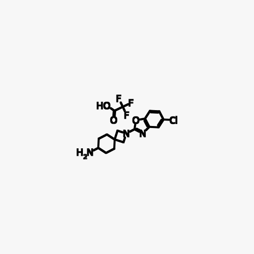 NC1CCC2(CC1)CN(c1nc3cc(Cl)ccc3o1)C2.O=C(O)C(F)(F)F